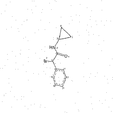 O=C(NC1CC1)C(Br)c1ccccc1